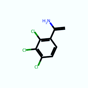 C=C(N)c1ccc(Cl)c(Cl)c1Cl